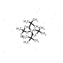 CC(C)(C)[CH2][Cr]([CH2]C(C)(C)C)([O]C(C)(C)C)[O]C(C)(C)C